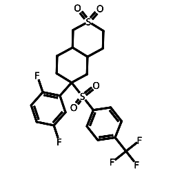 O=S1(=O)CCC2CC(c3cc(F)ccc3F)(S(=O)(=O)c3ccc(C(F)(F)F)cc3)CCC2C1